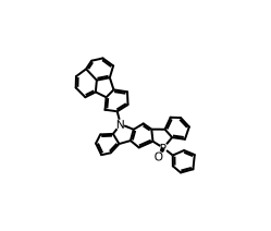 O=P1(c2ccccc2)c2ccccc2-c2cc3c(cc21)c1ccccc1n3-c1ccc2c(c1)-c1cccc3cccc-2c13